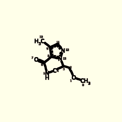 COCC1CNC(=O)c2c(C)cnn21